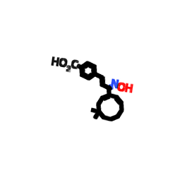 CC1(C)C/C=C(C(/C=C/c2ccc(C(=O)O)cc2)=N\O)\C=C/CCCC1